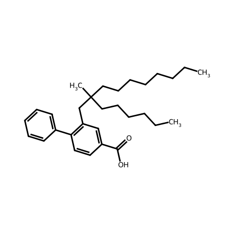 CCCCCCCCC(C)(CCCCCC)Cc1cc(C(=O)O)ccc1-c1ccccc1